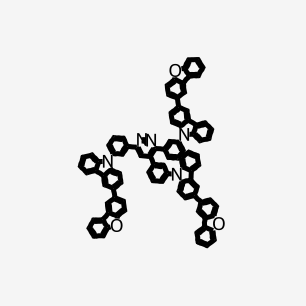 c1cc(-c2cc(-c3cccc(-n4c5ccccc5c5cc(-c6ccc7oc8ccccc8c7c6)ccc54)c3)c(-c3cccc(-n4c5ccccc5c5cc(-c6ccc7oc8ccccc8c7c6)ccc54)c3)nn2)cc(-n2c3ccccc3c3cc(-c4ccc5oc6ccccc6c5c4)ccc32)c1